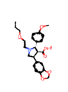 CCCOCCN1CC(c2ccc3c(c2)OCO3)[C@H](C(=O)O)[C@H]1c1ccc(OC)cc1